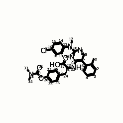 Cc1ccccc1-c1cnc(N(C)c2ccc(Cl)cc2)nc1N[C@@H](Cc1ccc(OC(=O)N(C)C)cc1)C(=O)O